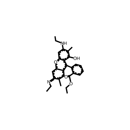 CC/N=c1/cc2oc3cc(NCC)c(C)c(O)c3c(-c3ccccc3C(=O)OCC)c-2cc1C